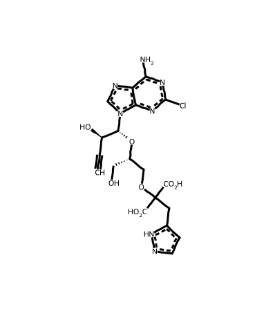 C#C[C@@H](O)[C@@H](O[C@@H](CO)COC(Cc1ccn[nH]1)(C(=O)O)C(=O)O)n1cnc2c(N)nc(Cl)nc21